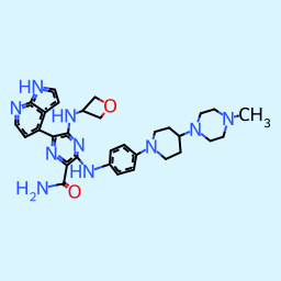 CN1CCN(C2CCN(c3ccc(Nc4nc(NC5COC5)c(-c5ccnc6[nH]ccc56)nc4C(N)=O)cc3)CC2)CC1